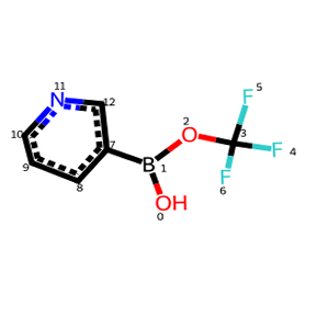 OB(OC(F)(F)F)c1cccnc1